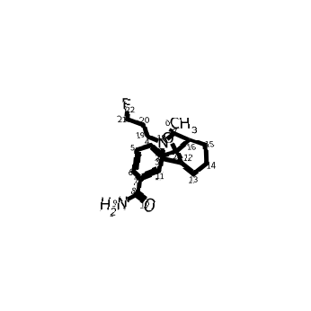 COC1(c2cccc(C(N)=O)c2)C2CCCC1CN(CCCF)C2